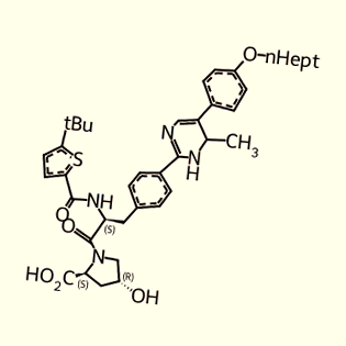 CCCCCCCOc1ccc(C2=CN=C(c3ccc(C[C@H](NC(=O)c4ccc(C(C)(C)C)s4)C(=O)N4C[C@H](O)C[C@H]4C(=O)O)cc3)NC2C)cc1